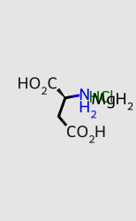 Cl.N[C@@H](CC(=O)O)C(=O)O.[MgH2]